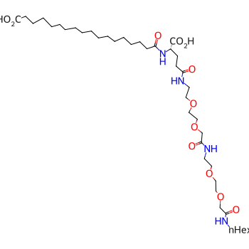 CCCCCCNC(=O)COCCOCCNC(=O)COCCOCCNC(=O)CC[C@H](NC(=O)CCCCCCCCCCCCCCCCC(=O)O)C(=O)O